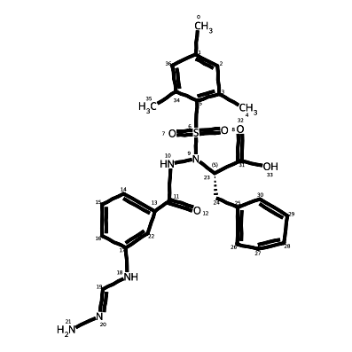 Cc1cc(C)c(S(=O)(=O)N(NC(=O)c2cccc(NC=NN)c2)[C@@H](Cc2ccccc2)C(=O)O)c(C)c1